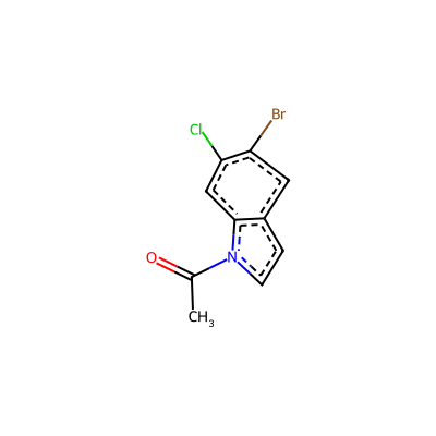 CC(=O)n1ccc2cc(Br)c(Cl)cc21